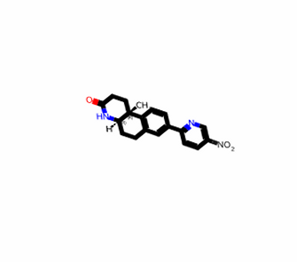 C[C@]12CCC(=O)N[C@@H]1CCc1cc(-c3ccc([N+](=O)[O-])cn3)ccc12